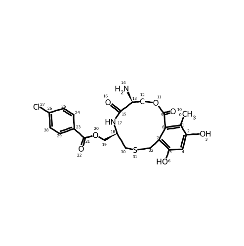 Cc1c(O)cc(O)c2c1C(=O)OC[C@H](N)C(=O)N[C@H](COC(=O)c1ccc(Cl)cc1)CSC2